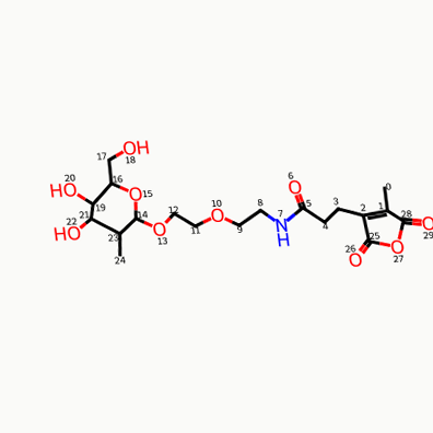 CC1=C(CCC(=O)NCCOCCOC2OC(CO)C(O)C(O)C2C)C(=O)OC1=O